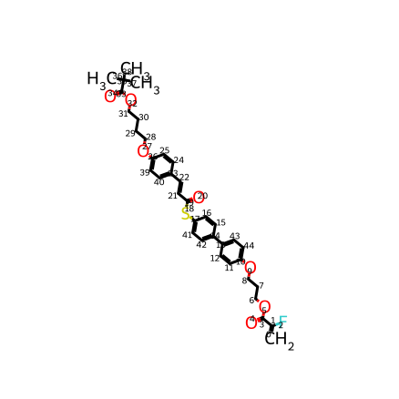 C=C(F)C(=O)OCCCOc1ccc(-c2ccc(SC(=O)/C=C/c3ccc(OCCCCOC(=O)C(C)(C)C)cc3)cc2)cc1